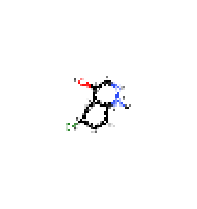 Cn1n[c]c(=O)c2cc(Cl)ccc21